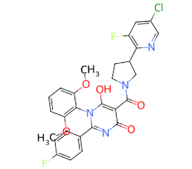 COc1cccc(OC)c1-n1c(-c2ccc(F)cc2)nc(=O)c(C(=O)N2CCC(c3ncc(Cl)cc3F)C2)c1O